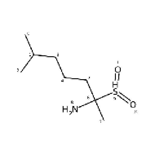 CC(C)CCCC(C)(N)[SH](=O)=O